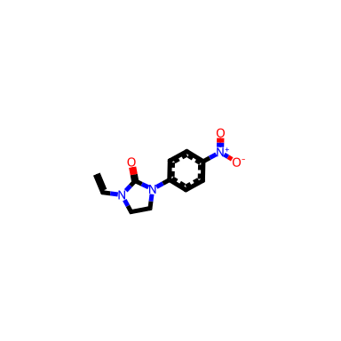 C=CN1CCN(c2ccc([N+](=O)[O-])cc2)C1=O